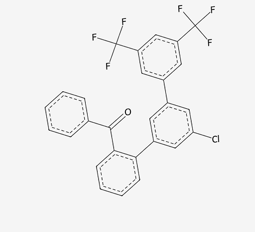 O=C(c1ccccc1)c1ccccc1-c1cc(Cl)cc(-c2cc(C(F)(F)F)cc(C(F)(F)F)c2)c1